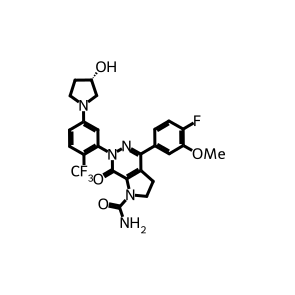 COc1cc(-c2nn(-c3cc(N4CC[C@H](O)C4)ccc3C(F)(F)F)c(=O)c3c2CCN3C(N)=O)ccc1F